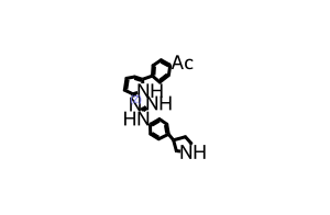 CC(=O)c1ccc(-c2ccc/c(=N/C(=N)Nc3ccc(C4CCNC4)cc3)[nH]2)cc1